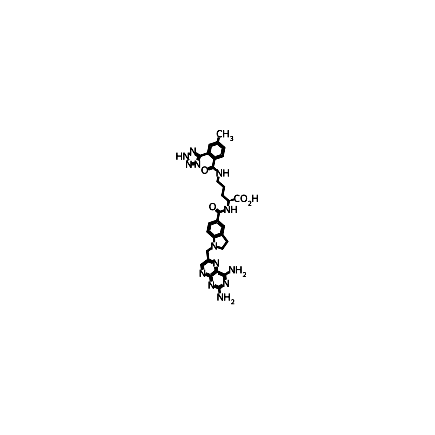 Cc1ccc(C(=O)NCCC[C@H](NC(=O)c2ccc3c(c2)CCN3Cc2cnc3nc(N)nc(N)c3n2)C(=O)O)c(-c2nn[nH]n2)c1